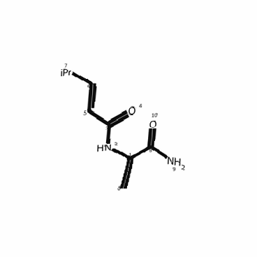 C=C(NC(=O)C=CC(C)C)C(N)=O